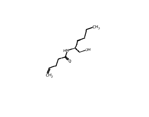 C=CCCC(=O)NC(CO)CCCC